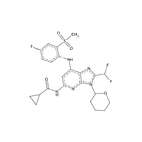 CS(=O)(=O)c1cc(F)ccc1Nc1cc(NC(=O)C2CC2)nc2c1nc(C(F)F)n2C1CCCCO1